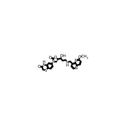 COc1ccc2nccc(CNCC[C@@H](O)[C@H]3CN(c4ccc5c(c4)NC(=O)CS5)C(=O)O3)c2n1